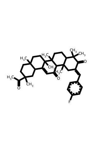 CC(=O)C1(C)CCC2(C)CCC3(C)C(=CC(=O)C4C5(C)C/C(=C\c6ccc(F)cc6)C(=O)C(C)(C)C5CCC43C)C2C1